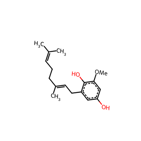 COc1cc(O)cc(C/C=C(\C)CCC=C(C)C)c1O